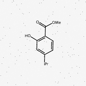 COC(=O)c1ccc(C(C)C)cc1O